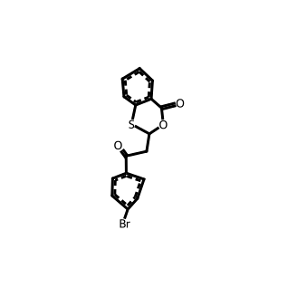 O=C(CC1OC(=O)c2ccccc2S1)c1ccc(Br)cc1